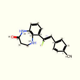 N#Cc1ccc(/C=C(\F)c2cccc3c2NCCC(=O)N3)cc1